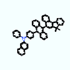 CC1(C)c2ccccc2-c2c1cc(-c1c3ccccc3c(-c3ccc(N(c4ccccc4)c4ccc5ccccc5c4)cc3)c3ccccc13)c1ccccc21